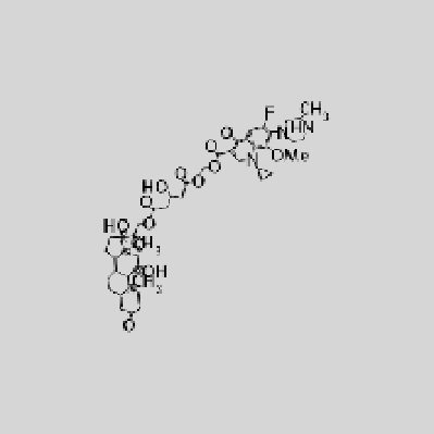 COc1c(N2CCNC(C)C2)c(F)cc2c(=O)c(C(=O)OCOC(=O)CC(O)CC(=O)OCC(=O)[C@@]3(O)CCC4C5CCC6=CC(=O)C=C[C@]6(C)C5[C@@H](O)C[C@@]43C)cn(C3CC3)c12